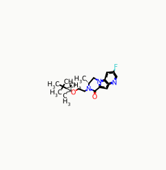 C[C@@H]1Cn2c(cc3ncc(F)cc32)C(=O)N1CCO[Si](C)(C)C(C)(C)C